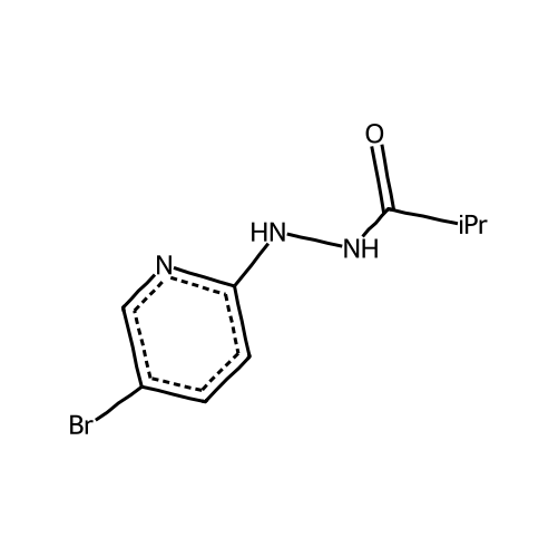 CC(C)C(=O)NNc1ccc(Br)cn1